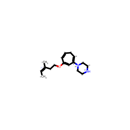 C/C=C(/C)CCOC1=CC(N2CCNCC2)=CCC=C1